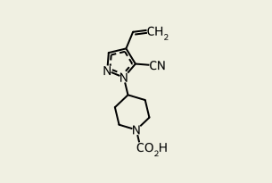 C=Cc1cnn(C2CCN(C(=O)O)CC2)c1C#N